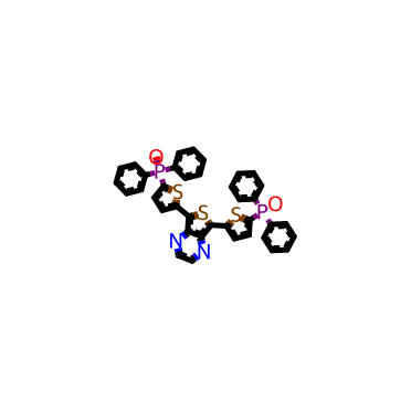 O=P(c1ccccc1)(c1ccccc1)c1ccc(-c2sc(-c3ccc(P(=O)(c4ccccc4)c4ccccc4)s3)c3nccnc23)s1